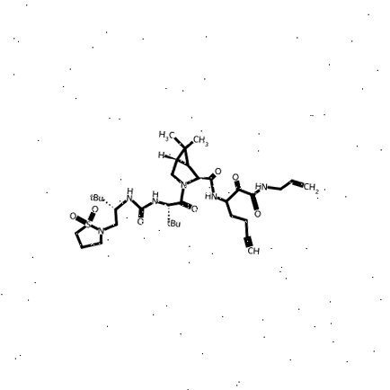 C#CCCC(NC(=O)[C@@H]1C2[C@H](CN1C(=O)[C@@H](NC(=O)N[C@H](CN1CCCS1(=O)=O)C(C)(C)C)C(C)(C)C)C2(C)C)C(=O)C(=O)NCC=C